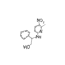 Cc1nc(NC(CO)c2ccccc2)ccc1[N+](=O)[O-]